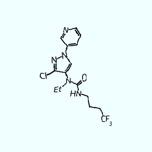 CCN(C(=O)NCCCC(F)(F)F)c1cn(-c2cccnc2)nc1Cl